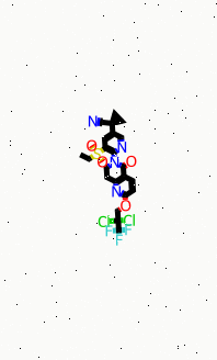 CCS(=O)(=O)c1cc(C2(C#N)CC2)cnc1N1CCc2nc(OCC(Cl)(Cl)C(F)(F)F)ccc2C1=O